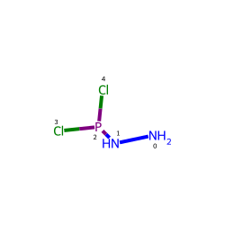 NNP(Cl)Cl